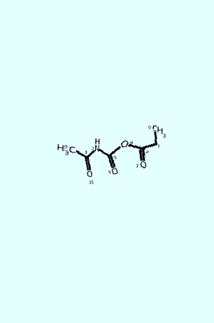 CCC(=O)OC(=O)NC(C)=O